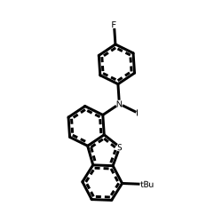 CC(C)(C)c1cccc2c1sc1c(N(I)c3ccc(F)cc3)cccc12